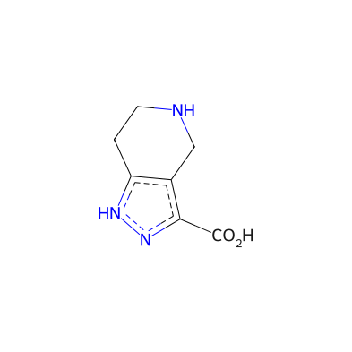 O=C(O)c1n[nH]c2c1CNCC2